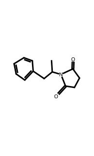 CC(Cc1ccccc1)N1C(=O)CCC1=O